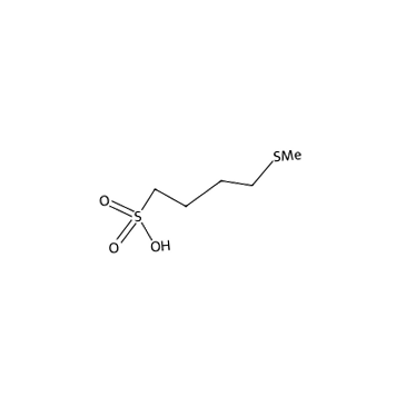 CSCCCCS(=O)(=O)O